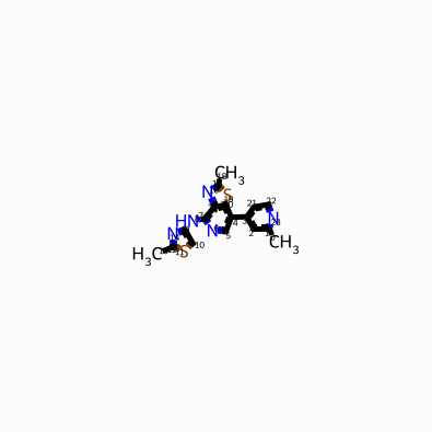 Cc1cc(-c2cnc(Nc3csc(C)n3)c3nc(C)sc23)ccn1